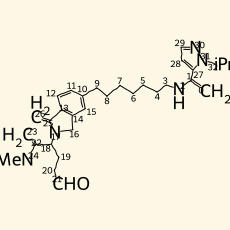 C=C(NCCCCCCCc1ccc2c(c1)CN(C(CCC=O)C(=C)NC)C2=C)c1ccnn1C(C)C